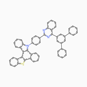 c1ccc(-c2cc(-c3ccccc3)cc(-c3nc(-c4ccc(-n5c6ccccc6c6c7c8ccccc8sc7c7ccccc7c65)cc4)nc4ccccc34)c2)cc1